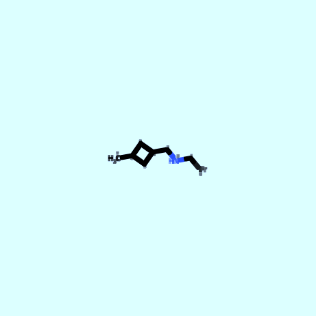 CC(C)CNCC1CC(C)C1